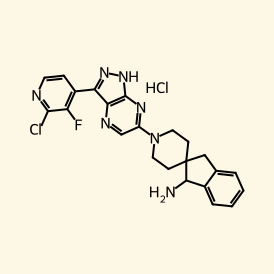 Cl.NC1c2ccccc2CC12CCN(c1cnc3c(-c4ccnc(Cl)c4F)n[nH]c3n1)CC2